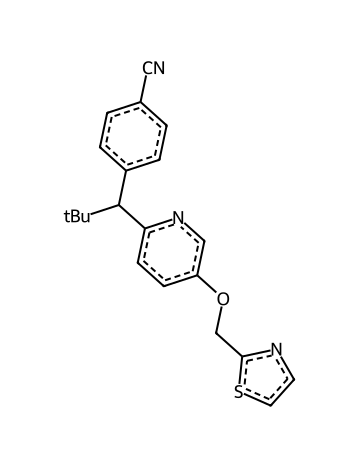 CC(C)(C)C(c1ccc(C#N)cc1)c1ccc(OCc2nccs2)cn1